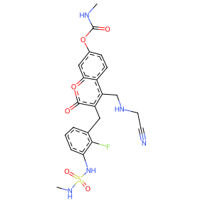 CNC(=O)Oc1ccc2c(CNCC#N)c(Cc3cccc(NS(=O)(=O)NC)c3F)c(=O)oc2c1